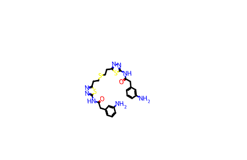 Nc1cccc(CC(=O)Nc2nnc(CCSCCc3nnc(NC(=O)Cc4cccc(N)c4)s3)s2)c1